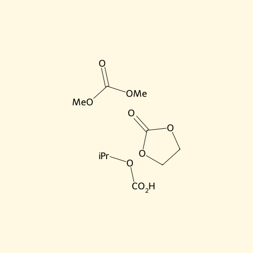 CC(C)OC(=O)O.COC(=O)OC.O=C1OCCO1